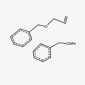 C=CCOCc1ccccc1.COCc1ccccc1